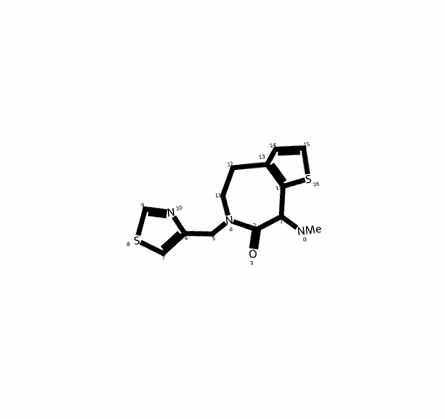 CNC1C(=O)N(Cc2cscn2)CCc2ccsc21